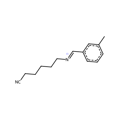 Cc1cccc(/C=N/CCCCCC#N)c1